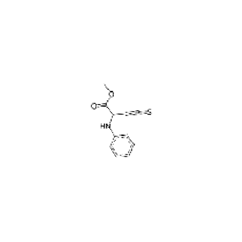 COC(=O)C(C#P=S)Nc1ccccc1